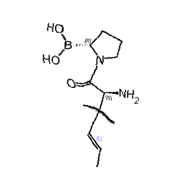 C/C=C/C(C)(C)[C@H](N)C(=O)N1CCC[C@H]1B(O)O